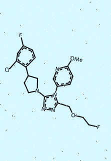 COc1ccc(-n2c(COCCF)nnc2N2CCC(c3ccc(F)cc3Cl)C2)cn1